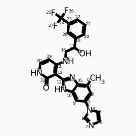 Cc1cc(-n2ccnc2)cc2[nH]c(-c3c(NCC(O)c4cccc(C(F)(F)F)c4)cc[nH]c3=O)nc12